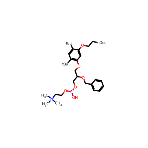 CCCCCCCCCCCCOc1cc(OCC(COP(O)OCC[N+](C)(C)C)OCc2ccccc2)c(C(C)(C)C)cc1C(C)(C)C